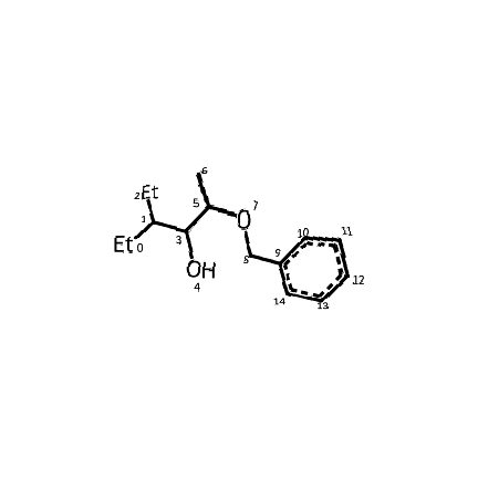 CCC(CC)C(O)C(C)OCc1ccccc1